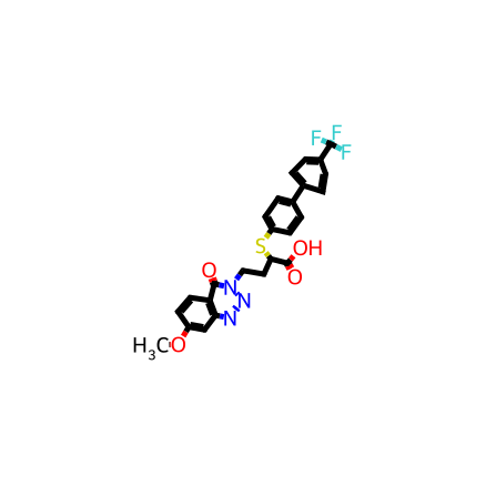 COc1ccc2c(=O)n(CCC(Sc3ccc(-c4ccc(C(F)(F)F)cc4)cc3)C(=O)O)nnc2c1